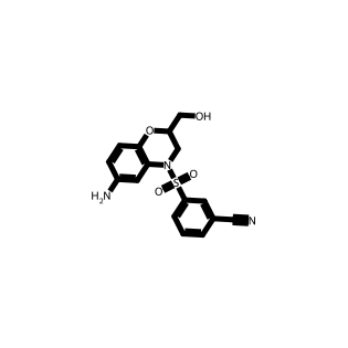 N#Cc1cccc(S(=O)(=O)N2CC(CO)Oc3ccc(N)cc32)c1